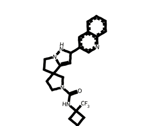 O=C(NC1(C(F)(F)F)CCC1)N1CCC2(CCN3NC(c4cnc5ccccc5c4)C=C32)C1